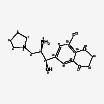 N[C@H](CN1CCCC1)[C@H](O)c1cc(F)c2c(c1)OCCO2